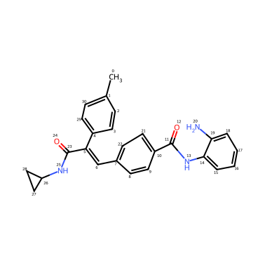 Cc1ccc(/C(=C\c2ccc(C(=O)Nc3ccccc3N)cc2)C(=O)NC2CC2)cc1